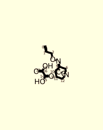 C=CCON=C1CN2CCC1CC2.O=C(O)C(=O)O